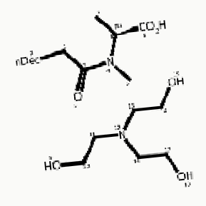 CCCCCCCCCCCC(=O)N(C)[C@@H](C)C(=O)O.OCCN(CCO)CCO